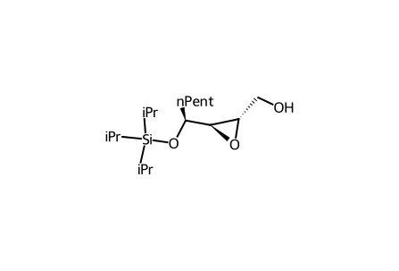 CCCCC[C@H](O[Si](C(C)C)(C(C)C)C(C)C)[C@@H]1O[C@H]1CO